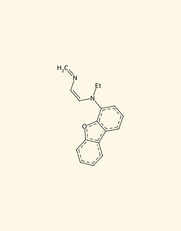 C=N/C=C\N(CC)c1cccc2c1oc1ccccc12